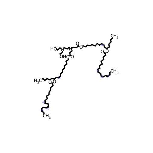 CC/C=C\C/C=C\C/C=C\CCCCCCCC(=O)OC(C/C=C\CCCCCCCCOC(=O)CCN(CCCN(CCO)CCO)CCC(=O)OCCCCCCCC/C=C\CC(CCCCCC)OC(=O)CCCCCCC/C=C\C/C=C\C/C=C\CC)CCCCCC